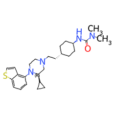 CN(C)C(=O)N[C@H]1CC[C@H](CCN2CCN(c3cccc4sccc34)[C@H](C3CC3)C2)CC1